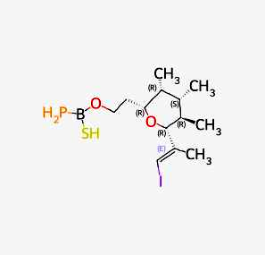 C/C(=C\I)[C@@H]1O[C@H](CCOB(P)S)[C@H](C)[C@H](C)[C@H]1C